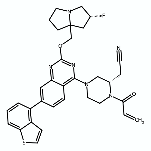 C=CC(=O)N1CCN(c2nc(OCC34CCCN3C[C@H](F)C4)nc3cc(-c4cccc5sccc45)ccc23)C[C@@H]1CC#N